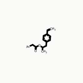 C=Cc1ccc(CC(C)OC(=O)CC(C)=O)cc1